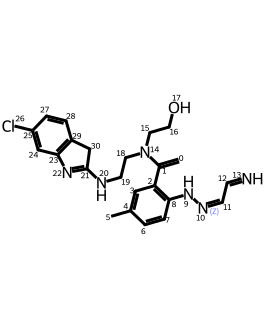 C=C(c1cc(C)ccc1N/N=C\C=N)N(CCO)CCNC1=Nc2cc(Cl)ccc2C1